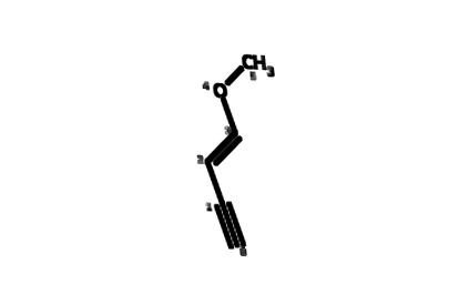 [C]#C/C=C/OC